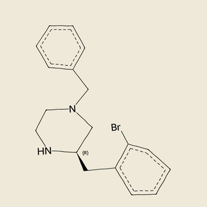 Brc1ccccc1C[C@@H]1CN(Cc2ccccc2)CCN1